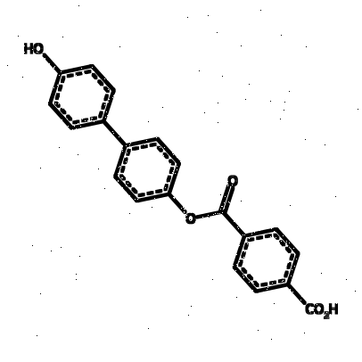 O=C(O)c1ccc(C(=O)Oc2ccc(-c3ccc(O)cc3)cc2)cc1